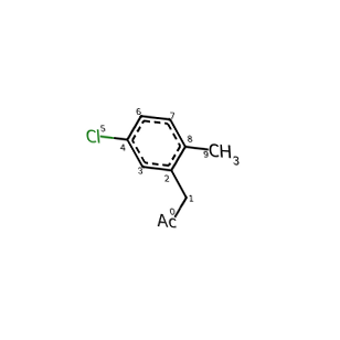 CC(=O)Cc1cc(Cl)ccc1C